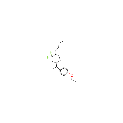 CCCC[C@@H]1CC[C@@H](C(C)c2ccc(OCC)cc2)CC1(F)F